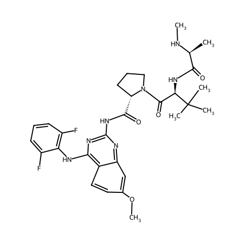 CN[C@@H](C)C(=O)N[C@H](C(=O)N1CCC[C@H]1C(=O)Nc1nc(Nc2c(F)cccc2F)c2ccc(OC)cc2n1)C(C)(C)C